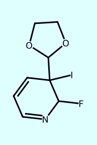 FC1N=CC=CC1(I)C1OCCO1